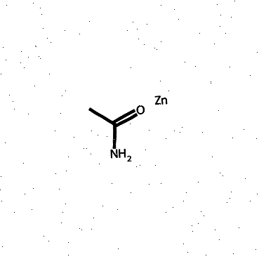 CC(N)=O.[Zn]